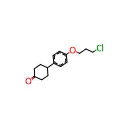 O=C1CCC(c2ccc(OCCCCl)cc2)CC1